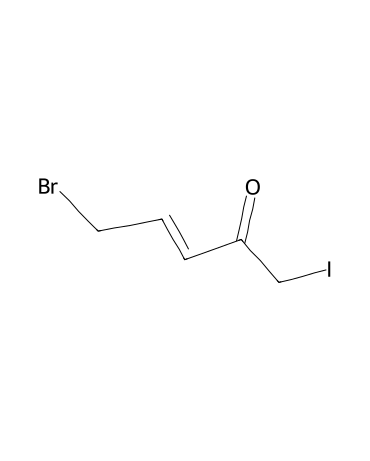 O=C(/C=C/CBr)CI